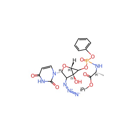 CC(C)OC(=O)[C@@H](C)NP(=O)(Oc1ccccc1)OC1[C@H]2O[C@@H](n3ccc(=O)[nH]c3=O)C(N=[N+]=[N-])[C@@]12O